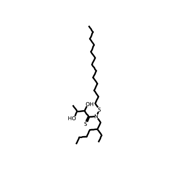 CCCCCCCCCCCCCSN(CC(CC)CCCC)C(=S)C(O)C(C)O